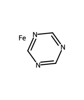 [Fe].c1ncncn1